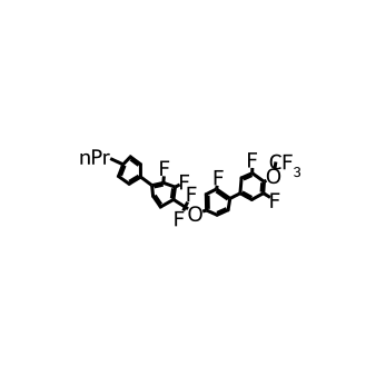 CCCc1ccc(-c2ccc(C(F)(F)Oc3ccc(-c4cc(F)c(OC(F)(F)F)c(F)c4)c(F)c3)c(F)c2F)cc1